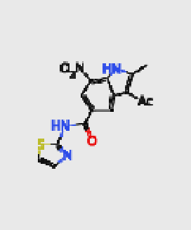 CC(=O)c1c(C)[nH]c2c([N+](=O)[O-])cc(C(=O)Nc3nccs3)cc12